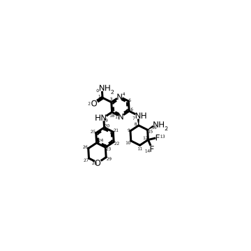 NC(=O)c1ncc(N[C@@H]2CCCC(F)(F)[C@@H]2N)nc1Nc1ccc2c(c1)CCOC2